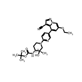 CCOc1cc(-c2ccc(N3CC[C@H](NC(=O)OC(C)(C)C)[C@@](C)(O)C3)nc2)c2c(C#N)cnn2c1